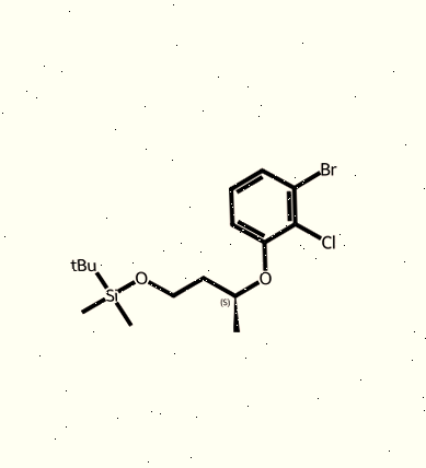 C[C@@H](CCO[Si](C)(C)C(C)(C)C)Oc1cccc(Br)c1Cl